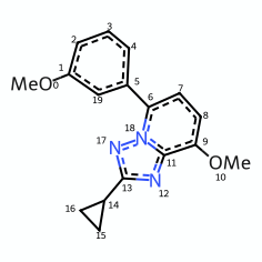 COc1cccc(-c2ccc(OC)c3nc(C4CC4)nn23)c1